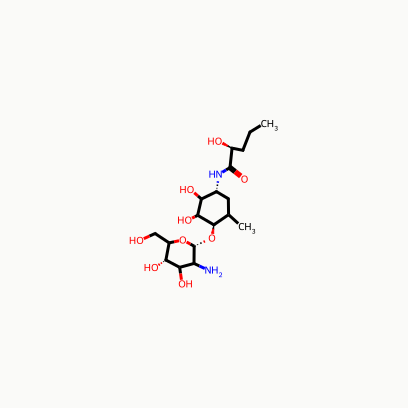 CCC[C@H](O)C(=O)N[C@@H]1CC(C)[C@@H](O[C@H]2OC(CO)[C@@H](O)C(O)C2N)C(O)C1O